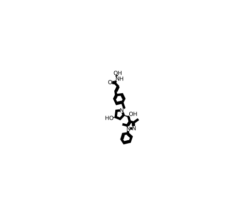 Cc1nn(-c2ccccc2)c(C)c1C(O)[C@H]1C[C@H](O)CN1Cc1ccc(C=CC(=O)NO)cc1